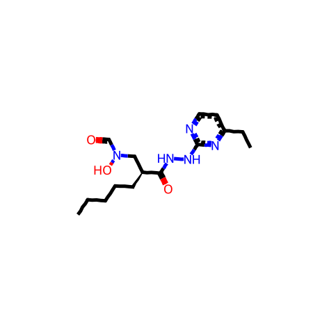 CCCCC[C@@H](CN(O)C=O)C(=O)NNc1nccc(CC)n1